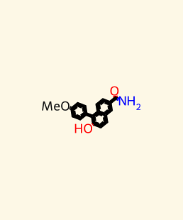 COc1ccc(-c2c(O)ccc3cc(C(N)=O)ccc23)cc1